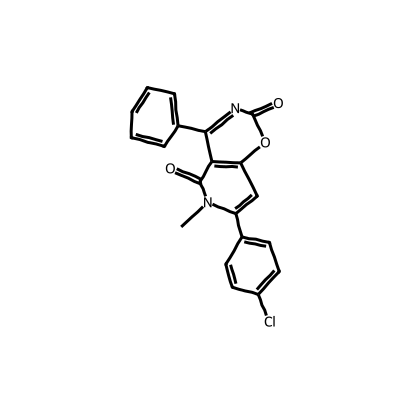 Cn1c(-c2ccc(Cl)cc2)cc2oc(=O)nc(-c3ccccc3)c2c1=O